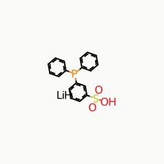 O=S(=O)(O)c1cccc(P(c2ccccc2)c2ccccc2)c1.[LiH]